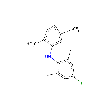 Cc1cc(F)cc(C)c1Nc1cc(C(F)(F)F)ccc1C(=O)O